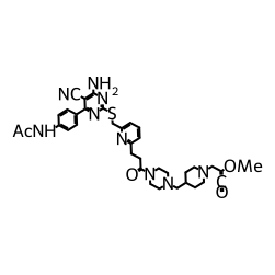 COC(=C=O)CN1CCC(CN2CCN(C(=O)CCc3cccc(CSc4nc(N)c(C#N)c(-c5ccc(NC(C)=O)cc5)n4)n3)CC2)CC1